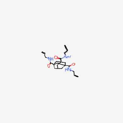 C=CCNC(=O)C12CC3CC(C(=O)NCC=C)(C1)CC(C(=O)NCC=C)(C3)C2